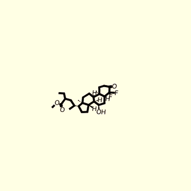 CCC(CC(C)[C@H]1CC[C@H]2[C@@H]3[C@H](O)C[C@@H]4C(F)(F)C(=O)CC[C@]4(C)[C@H]3CC[C@]12C)C(=O)OC